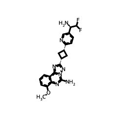 COc1cccc2c1nc(N)n1nc([C@H]3C[C@@H](c4ccc([C@@H](N)C(F)F)cn4)C3)nc21